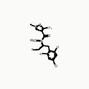 CON(C(=O)c1cn(C)nc1C(F)(F)F)C(CF)Cc1c(Cl)cc(Cl)cc1Cl